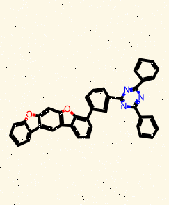 c1ccc(-c2nc(-c3ccccc3)nc(-c3cccc(-c4cccc5c4oc4cc6oc7ccccc7c6cc45)c3)n2)cc1